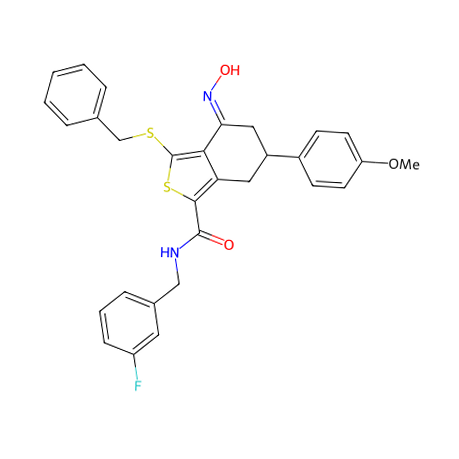 COc1ccc(C2CC(=NO)c3c(SCc4ccccc4)sc(C(=O)NCc4cccc(F)c4)c3C2)cc1